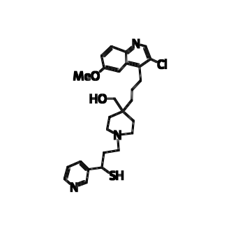 COc1ccc2ncc(Cl)c(CCCC3(CO)CCN(CCC(S)c4cccnc4)CC3)c2c1